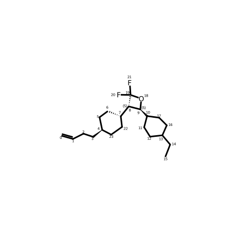 C=CCC[C@H]1CC[C@H]([C@H]2[C@H](C3CCC(CC)CC3)OC2(F)F)CC1